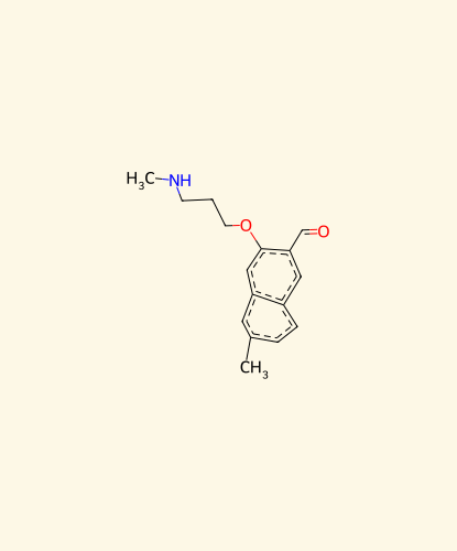 CNCCCOc1cc2cc(C)ccc2cc1C=O